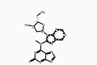 CN(C1=NC(=S)N=C2N=CN=C21)c1nc2cncnc2n1[C@H]1C[C@@H](O)[C@H](CO)O1